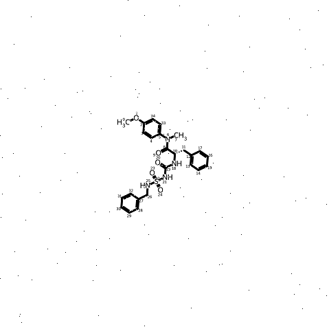 COc1ccc(N(C)C(=O)[C@H](Cc2ccccc2)NC(=O)NS(=O)(=O)NCc2ccccc2)cc1